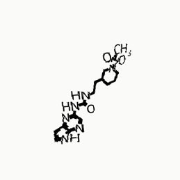 CS(=O)(=O)N1CCCC(CCNC(=O)Nc2cnc3[nH]ccc3n2)C1